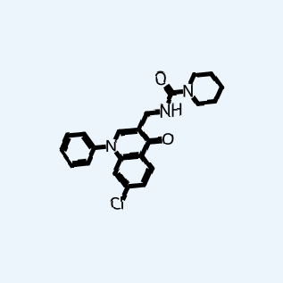 O=C(NCc1cn(-c2ccccc2)c2cc(Cl)ccc2c1=O)N1CCCCC1